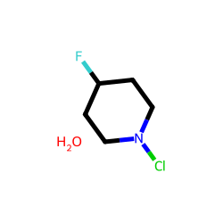 FC1CCN(Cl)CC1.O